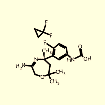 CC1(C)C[C@@](C)(c2cc(NC(=O)O)ccc2F)N=C(N)CO1.FC1(F)CC1